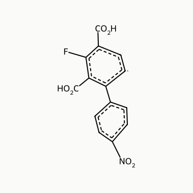 O=C(O)c1c[c]c(-c2ccc([N+](=O)[O-])cc2)c(C(=O)O)c1F